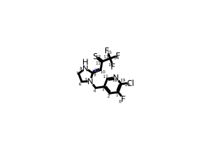 Fc1cc(CN2CCN/C2=C\C(=S)C(F)(F)F)cnc1Cl